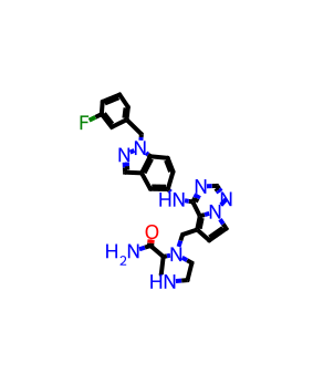 NC(=O)C1CNCCN1Cc1ccn2ncnc(Nc3ccc4c(cnn4Cc4cccc(F)c4)c3)c12